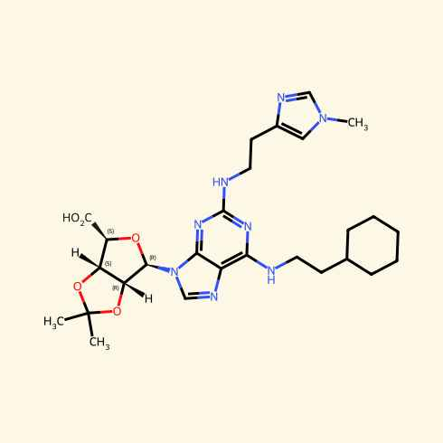 Cn1cnc(CCNc2nc(NCCC3CCCCC3)c3ncn([C@@H]4O[C@H](C(=O)O)[C@H]5OC(C)(C)O[C@H]54)c3n2)c1